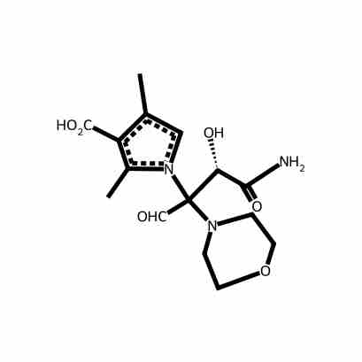 Cc1cn(C(C=O)([C@H](O)C(N)=O)N2CCOCC2)c(C)c1C(=O)O